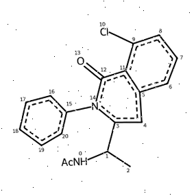 CC(=O)NC(C)c1cc2cccc(Cl)c2c(=O)n1-c1ccccc1